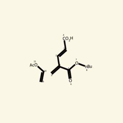 C=C(C=CC(=O)O)C(=O)OCCCC.C=COC(C)=O